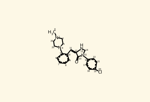 CN1CCN(c2ccccc2C=C2NCN(c3ccc(Cl)cc3)C2=O)CC1